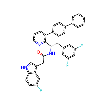 O=C(Cc1c[nH]c2ccc(F)cc12)N[C@@H](Cc1cc(F)cc(F)c1)c1ncccc1-c1ccc(-c2ccccc2)cc1